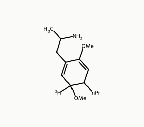 [2H]C1(OC)C=C(CC(C)N)C(OC)=CC1CCC